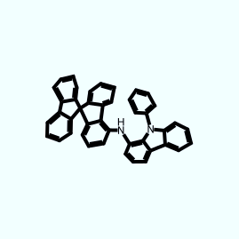 c1ccc(-n2c3ccccc3c3cccc(Nc4cccc5c4-c4ccccc4C54c5ccccc5-c5ccccc54)c32)cc1